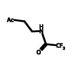 CC(=O)CCNC(=O)C(F)(F)F